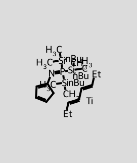 CCC=CC=CCC.CCCC[Si](C)(C)P(=NC1=CC=CC1)([Si](C)(C)CCCC)[Si](C)(C)CCCC.[Ti]